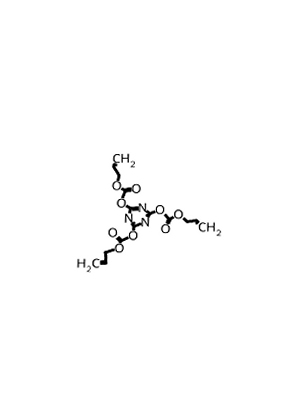 C=CCOC(=O)Oc1nc(OC(=O)OCC=C)nc(OC(=O)OCC=C)n1